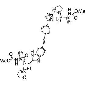 CC[C@]1(CN(Cc2nc3ccc(C#Cc4ccc(-c5cnc([C@@H]6CCCN6C(=O)[C@@H](NC(=O)OC)C(C)C)[nH]5)cc4)cc3[nH]2)C(=O)[C@@H](NC(=O)OC)C(C)C)CCCOC1